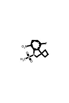 CS(=O)(=O)N1CC2(CCC2)c2c(F)ccc([N+](=O)[O-])c21